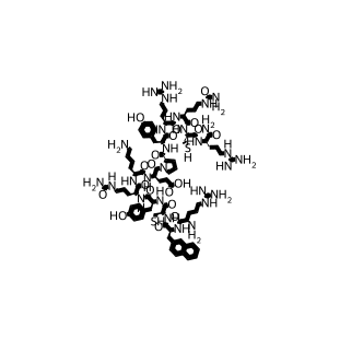 N=C(N)NCCC[C@H](NC(=O)[C@H](CS)NC(=O)[C@H](CCCNC(N)=O)NC(=O)[C@H](CCCNC(=N)N)NC(=O)[C@H](Cc1ccc(O)cc1)NC(=O)[C@@H]1CCCN1C(=O)[C@@H](CCC(=O)O)NC(=O)[C@H](CCCCN)NC(=O)[C@H](CCCNC(N)=O)NC(=O)[C@H](Cc1ccc(O)cc1)NC(=O)[C@H](CS)NC(=O)[C@H](Cc1ccc2ccccc2c1)NC(=O)[C@@H](N)CCCNC(=N)N)C(N)=O